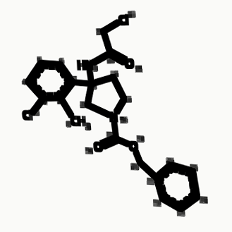 Cc1c(Cl)cccc1C1(NC(=O)CCl)CCN(C(=O)OCc2ccccc2)C1